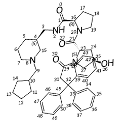 O=C(NC[C@@H]1CCCN(CC2CCCC2)C1)[C@H]1CCCN1C(=O)[C@@H]1C[C@@H](O)CN1C(=O)CC(c1ccccc1)(c1ccccc1)c1ccccc1